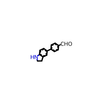 O=Cc1ccc(-c2ccc3c(c2)CCN3)cc1